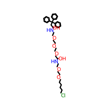 OC(COCCOCCOCCNC(O)CC(c1ccccc1)(c1ccccc1)c1ccccc1)NCCOCCOCCCCCCCl